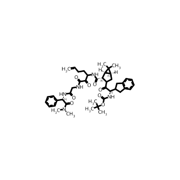 C=CCCC(NC(=O)[C@H]1C(C(=O)[C@@H](NC(=O)OC(C)(C)C)C2Cc3ccccc3C2)C[C@H]2[C@@H]1C2(C)C)C(=O)C(=O)NCC(=O)N[C@H](C(=O)N(C)C)c1ccccc1